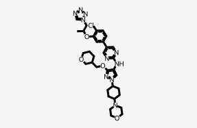 CC(Cn1cnnn1)Oc1cc(-c2cnc(Nc3cn(C4CCC(N5CCOCC5)CC4)nc3OCC3CCCOC3)nc2)ccc1Cl